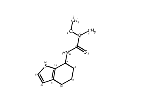 CON(C)C(=S)NC1CCCc2ccsc21